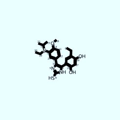 CCc1cc(-c2[nH]c(S)nc2-c2ccc(OC)c(N(CC)C(C)C)c2)c(O)cc1O